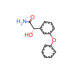 NC(=O)[C@@H](O)c1cccc(Oc2ccccc2)c1